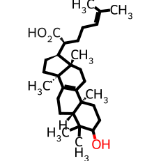 CC(C)=CCC[C@H](C(=O)O)[C@@H]1CC[C@]2(C)C3=C(CC[C@@]12C)[C@@]1(C)CCC(O)C(C)(C)[C@@H]1CC3